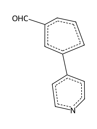 O=Cc1cccc(-c2ccncc2)c1